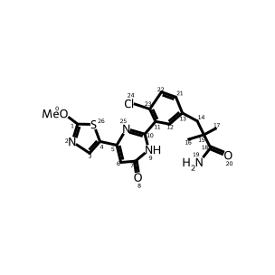 COc1ncc(-c2cc(=O)[nH]c(-c3cc(CC(C)(C)C(N)=O)ccc3Cl)n2)s1